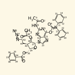 CC(=O)Nc1nc(OC(=O)N(c2ccccc2)c2ccccc2)c2ncn([C@@H]3O[C@H](COC(=O)c4ccccc4)[C@@H](CCN=[N+]=[N-])[C@H]3OC(C)=O)c2n1